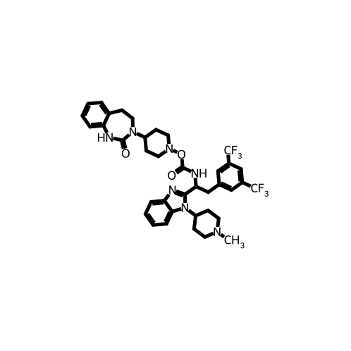 CN1CCC(n2c(C(Cc3cc(C(F)(F)F)cc(C(F)(F)F)c3)NC(=O)ON3CCC(N4CCc5ccccc5NC4=O)CC3)nc3ccccc32)CC1